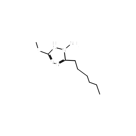 CCCCCCC1=NN=C(SC)NN1N